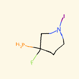 FC1(P)CCN(I)C1